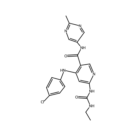 CCNC(=O)Nc1cc(Nc2ccc(Cl)cc2)c(C(=O)Nc2cnc(C)nc2)cn1